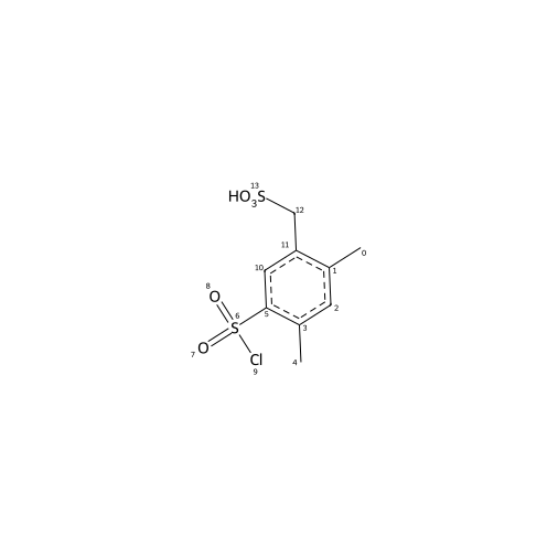 Cc1cc(C)c(S(=O)(=O)Cl)cc1CS(=O)(=O)O